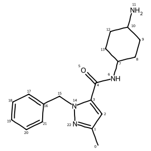 Cc1cc(C(=O)NC2CCC(N)CC2)n(Cc2ccccc2)n1